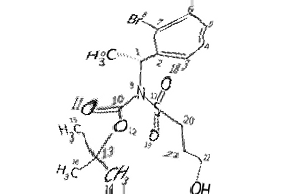 C[C@H](c1ccccc1Br)N(C(=O)OC(C)(C)C)S(=O)(=O)CCCO